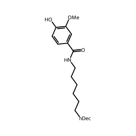 CCCCCCCCCCCCCCCCNC(=O)c1ccc(O)c(OC)c1